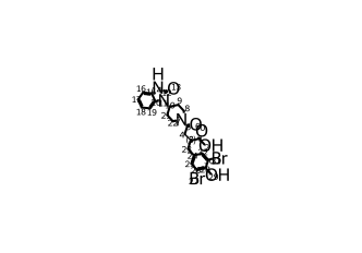 O=C(O)[C@H](CC(=O)N1CCC(n2c(=O)[nH]c3ccccc32)CC1)Cc1cc(Br)c(O)c(Br)c1